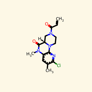 C=CC(=O)N1CCN2c3nc(Cl)c(C)cc3N(C)C(=O)[C@@H]2C1